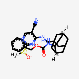 C[S+]([O-])c1ncc(C#N)c(NCC23CC4C[C@H](C2)C(NC(=O)OCc2ccccc2)[C@@H](C4)C3)n1